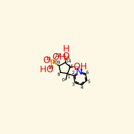 CC1(c2ccccn2)CC(P(=O)(O)O)C(O)C1O